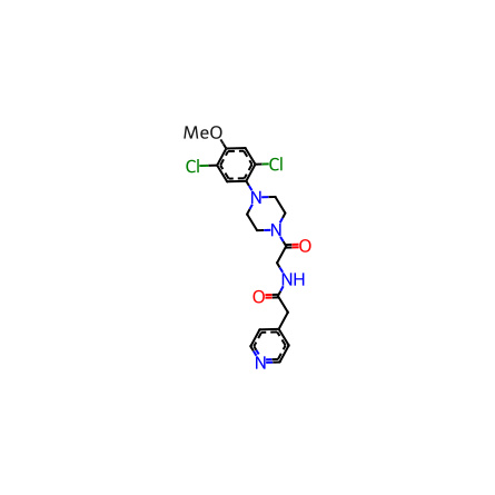 COc1cc(Cl)c(N2CCN(C(=O)CNC(=O)Cc3ccncc3)CC2)cc1Cl